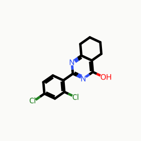 Oc1nc(-c2ccc(Cl)cc2Cl)nc2c1CCCC2